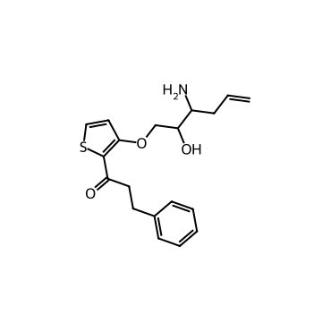 C=CCC(N)C(O)COc1ccsc1C(=O)CCc1ccccc1